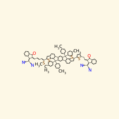 CS\C(=C/C=C/C=C1\C(=O)c2ccccc2C1=C(C#N)C#N)c1cc2ccc3c(c2s1)C(c1ccc(C)cc1)(c1ccc(C)cc1)c1cc2c(cc1-3)C(c1ccc(C)cc1)(c1ccc(C)cc1)c1c-2ccc2cc(-c3ccc(C/C=C4\C(=O)c5ccccc5C4=C(C#N)C#N)s3)sc12